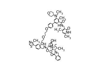 CCN(c1cc(-c2ccc(OCCCOCCOc3cc(-c4scnc4C)ccc3CNC(=O)[C@@H]3C[C@@H](O)CN3C(=O)C(C(C)C)N3Cc4ccccc4C3=O)cc2)cc(C(=O)NCc2c(C)cc(C)[nH]c2=O)c1C)C1CCOCC1